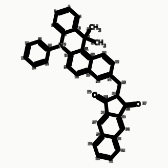 CC1(C)c2ccccc2N(c2ccccc2)c2ccc3cc(CC4C(=O)c5cc6ccccc6cc5C4=O)ccc3c21